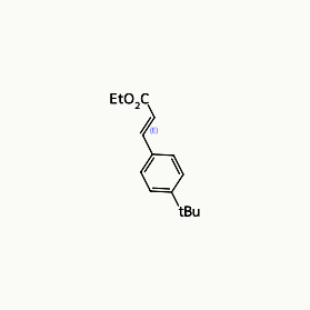 CCOC(=O)/C=C/c1ccc(C(C)(C)C)cc1